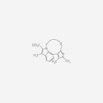 CCOC(=O)c1c(C)c2cccc3c2n1CCCCOCc1nn(C)c(C)c1-3